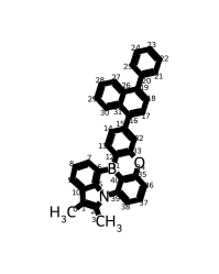 Cc1c(C)n2c3c(cccc13)B1c3ccc(-c4ccc(-c5ccccc5)c5ccccc45)cc3Oc3cccc-2c31